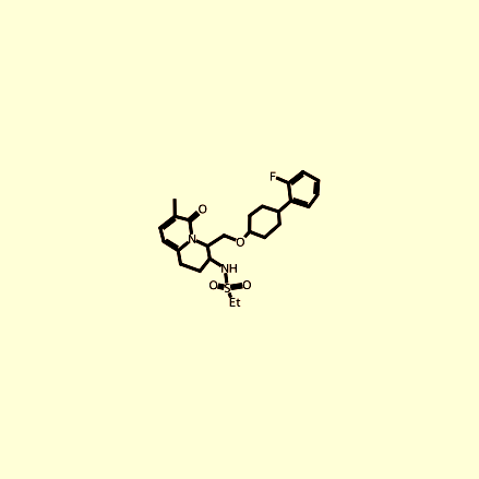 CCS(=O)(=O)NC1CCc2ccc(C)c(=O)n2C1COC1CCC(c2ccccc2F)CC1